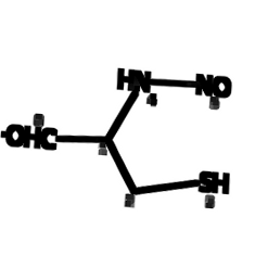 O=[C]C(CS)NN=O